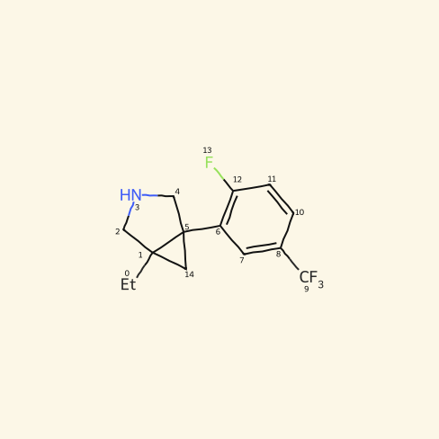 CCC12CNCC1(c1cc(C(F)(F)F)ccc1F)C2